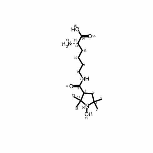 CC1(C)CC(C(=O)NCCCC[C@H](N)C(=O)O)C(C)(C)N1O